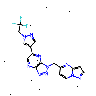 FC(F)(F)Cn1cc(-c2cnc3nnn(Cc4ccn5nccc5n4)c3n2)cn1